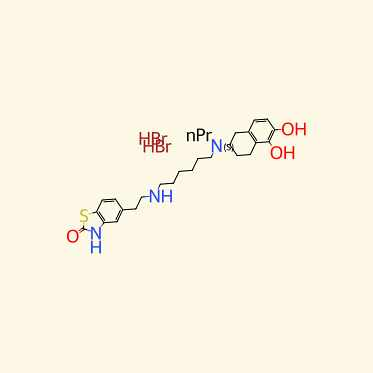 Br.Br.CCCN(CCCCCCNCCc1ccc2sc(=O)[nH]c2c1)[C@H]1CCc2c(ccc(O)c2O)C1